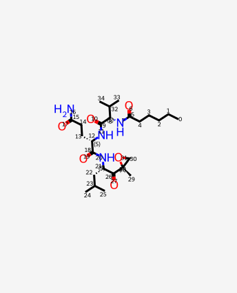 CCCCCC(=O)N[C@H](C(=O)N[C@@H](CCC(N)=O)C(=O)N[C@@H](CC(C)C)C(=O)[C@@]1(C)CO1)C(C)C